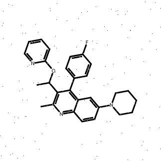 Cc1nc2ccc(N3CCCCC3)cc2c(-c2ccc(F)cc2)c1C(C)Oc1ccccn1